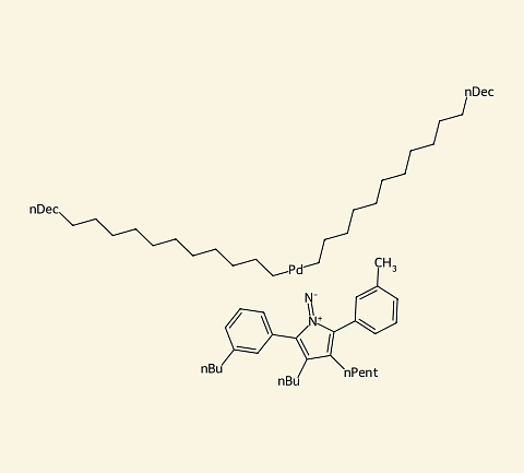 CCCCCC1=C(c2cccc(C)c2)[N+](=[N-])C(c2cccc(CCCC)c2)=C1CCCC.CCCCCCCCCCCCCCCCCCCC[CH2][Pd][CH2]CCCCCCCCCCCCCCCCCCCC